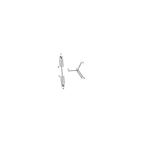 C=C(C)C.N#CC#N